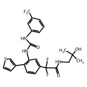 CC(C)(O)CNC(=O)C(F)(F)c1ccc(-c2ccsc2)c(NC(=O)Nc2cccc(C(F)(F)F)c2)c1